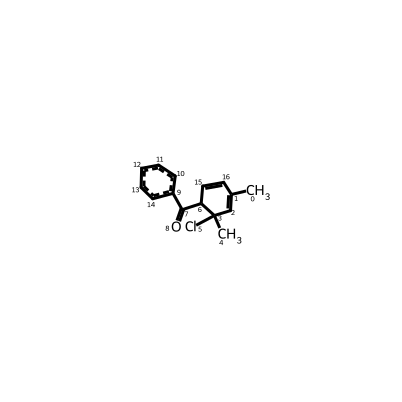 CC1=CC(C)(Cl)C(C(=O)c2ccccc2)C=C1